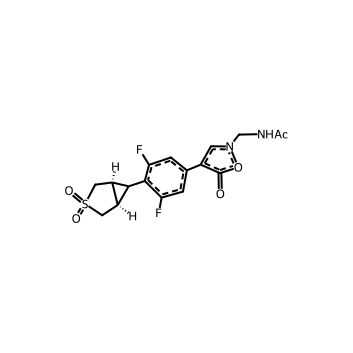 CC(=O)NCn1cc(-c2cc(F)c(C3[C@H]4CS(=O)(=O)C[C@@H]34)c(F)c2)c(=O)o1